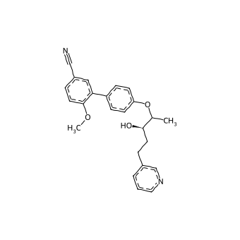 COc1ccc(C#N)cc1-c1ccc(OC(C)[C@H](O)CCc2cccnc2)cc1